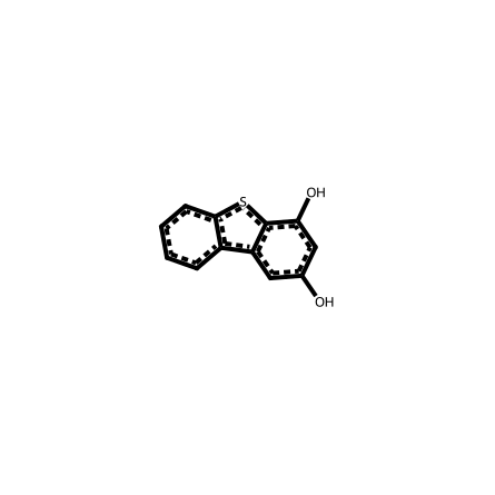 Oc1cc(O)c2sc3ccccc3c2c1